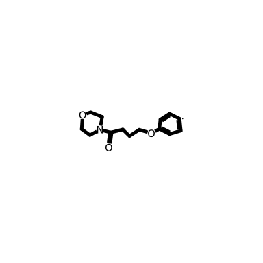 O=C(CCCOc1cc[c]cc1)N1CCOCC1